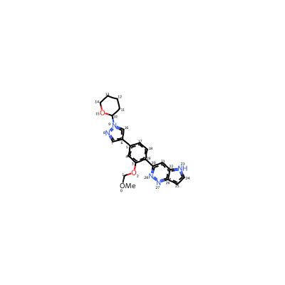 COCOc1cc(-c2cnn(C3CCCCO3)c2)ccc1-c1cc2[nH]ccc2nn1